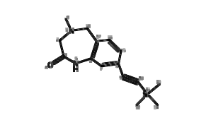 CN1CC(=O)Nc2cc(C#C[Si](C)(C)C)ccc2C1